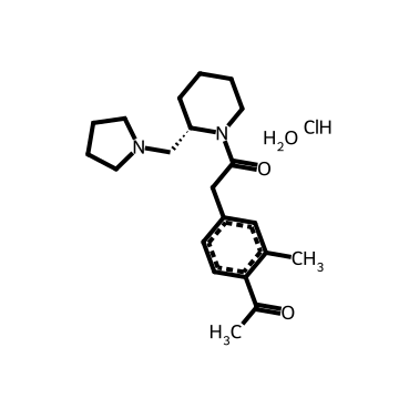 CC(=O)c1ccc(CC(=O)N2CCCC[C@H]2CN2CCCC2)cc1C.Cl.O